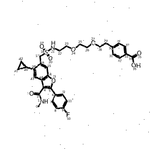 CNC(=O)c1c(-c2ccc(F)cc2)oc2cc(CS(=O)(=O)NCCOCCOCCc3ccc(C(=O)O)cc3)c(C3CC3)cc12